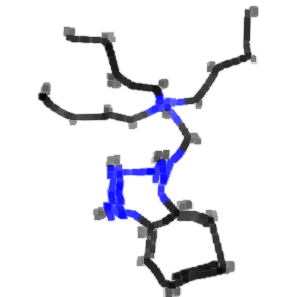 CCCC[N+](CCCC)(CCCC)Cn1nnc2ccccc21